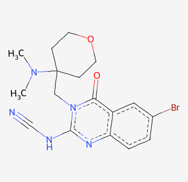 CN(C)C1(Cn2c(NC#N)nc3ccc(Br)cc3c2=O)CCOCC1